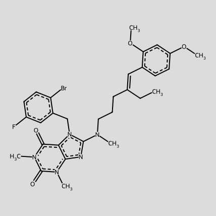 CC/C(=C\c1ccc(OC)cc1OC)CCCN(C)c1nc2c(c(=O)n(C)c(=O)n2C)n1Cc1cc(F)ccc1Br